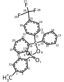 Cc1ccc(S(=O)(=O)OS(c2ccccc2)(c2ccccc2)c2ccc(C(F)(F)F)cc2)cc1